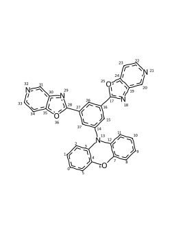 c1ccc2c(c1)Oc1ccccc1N2c1cc(-c2nc3cnccc3o2)cc(-c2nc3cnccc3o2)c1